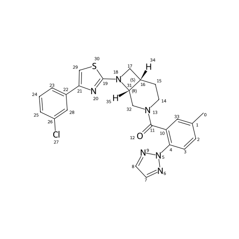 Cc1ccc(-n2nccn2)c(C(=O)N2CC[C@H]3CN(c4nc(-c5cccc(Cl)c5)cs4)[C@H]3C2)c1